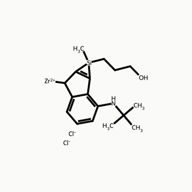 CC(C)(C)Nc1cccc2c1C1=C([CH]2[Zr+2])[Si]1(C)CCCO.[Cl-].[Cl-]